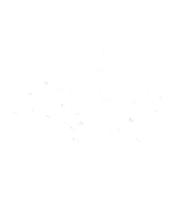 COc1ncnc(C2CC2)c1-c1ncc2c(n1)c(Cc1ccc(-c3nc(C(F)(F)F)cn3C(C)C)cc1OCc1ccccc1)nn2C